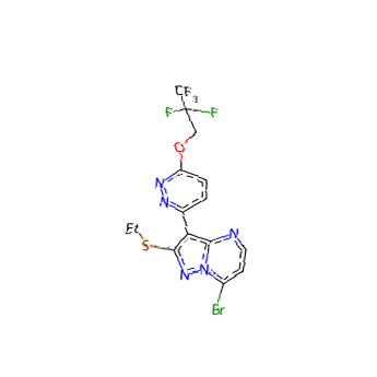 CCSc1nn2c(Br)ccnc2c1-c1ccc(OCC(F)(F)C(F)(F)F)nn1